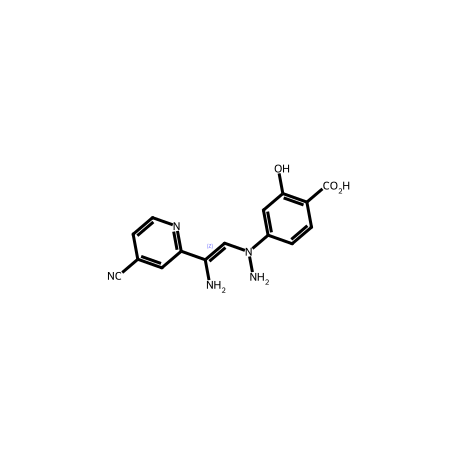 N#Cc1ccnc(/C(N)=C/N(N)c2ccc(C(=O)O)c(O)c2)c1